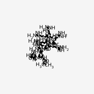 CC(=O)N[C@@H](CCCNC(=N)N)C(=O)N[C@@H](CCCNC(=N)N)C(=O)N[C@@H](CCCNC(=N)N)C(=O)N[C@@H](CCCNC(=N)N)C(=O)N[C@@H](CCCNC(=N)N)C(=O)N[C@@H](CCCNC(=N)N)C(=O)NCC(=O)N1C[C@@H](CO[PH](=O)N(C)C)O[C@@H](n2cnc3c(=O)[nH]c(N)nc32)C1